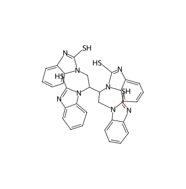 Sc1nc2ccccc2n1CC(C(Cn1c(S)nc2ccccc21)n1c(S)nc2ccccc21)n1c(S)nc2ccccc21